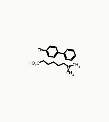 CN(C)CCCCCC(=O)O.Clc1ccc(-c2ccccc2)cc1